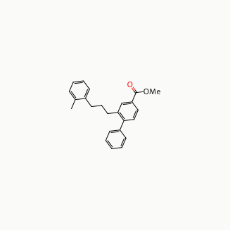 COC(=O)c1ccc(-c2ccccc2)c(CCCc2ccccc2C)c1